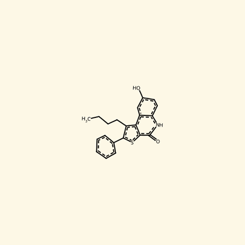 CCCCc1c(-c2ccccc2)sc2c(=O)[nH]c3ccc(O)cc3c12